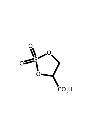 O=C(O)C1COS(=O)(=O)O1